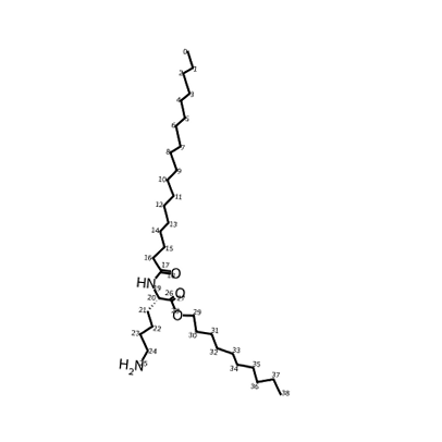 CCCCCCCCCCCCCCCCCC(=O)N[C@@H](CCCCN)C(=O)OCCCCCCCCCC